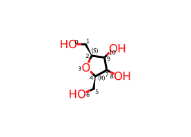 OC[C@@H]1O[C@H](CO)C(O)C1O